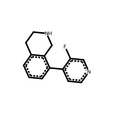 Fc1cnccc1-c1cccc2c1CNCC2